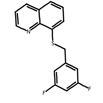 Fc1cc(F)cc(CSc2cccc3cccnc23)c1